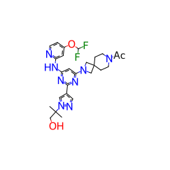 CC(=O)N1CCC2(CC1)CN(c1cc(Nc3cc(OC(F)F)ccn3)nc(-c3cnn(C(C)(C)CO)c3)n1)C2